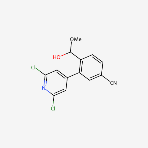 COC(O)c1ccc(C#N)cc1-c1cc(Cl)nc(Cl)c1